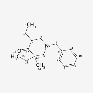 CCC1CN(Cc2ccccc2)CC(C)(CC)C1=O